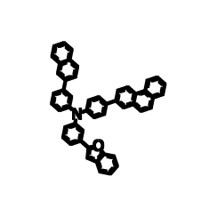 c1cc(-c2ccc3ccccc3c2)cc(N(c2ccc(-c3ccc4c(ccc5ccccc54)c3)cc2)c2cccc(-c3cc4ccccc4o3)c2)c1